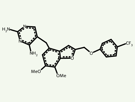 COc1cc(Cc2cnc(N)nc2N)c2cc(COc3ccc(C(F)(F)F)cc3)oc2c1OC